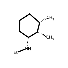 CCN[C@@H]1CCC[C@H](C)[C@@H]1C